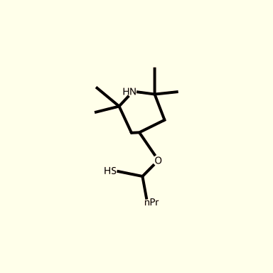 CCCC(S)OC1CC(C)(C)NC(C)(C)C1